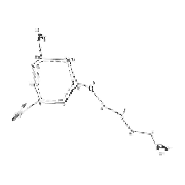 CC(C)CCCCOc1cc(C(C)C)cc(C(C)C)n1